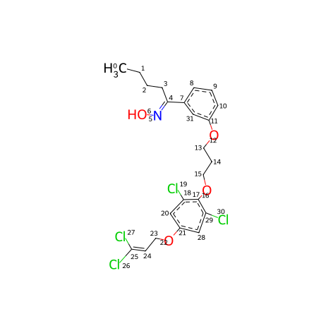 CCCCC(=NO)c1cccc(OCCCOc2c(Cl)cc(OCC=C(Cl)Cl)cc2Cl)c1